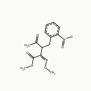 CON=C(C(=O)OC)C(Cc1ccccc1[N+](=O)[O-])C(C)=O